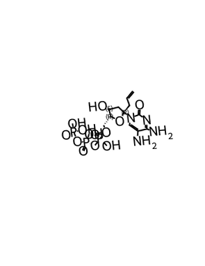 C=CC[C@]1(n2cc(N)c(N)nc2=O)C[C@H](O)[C@@H](COP(=O)(O)OP(=O)(O)OP(=O)(O)O)O1